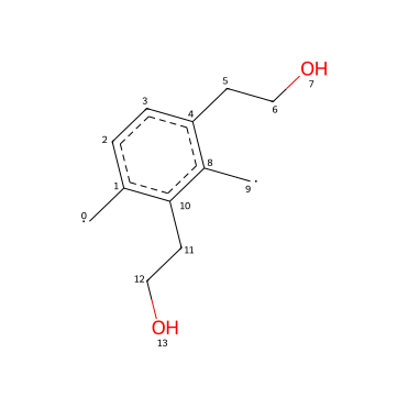 [CH2]c1ccc(CCO)c([CH2])c1CCO